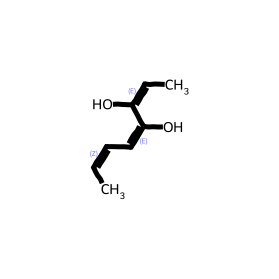 C\C=C/C=C(O)\C(O)=C/C